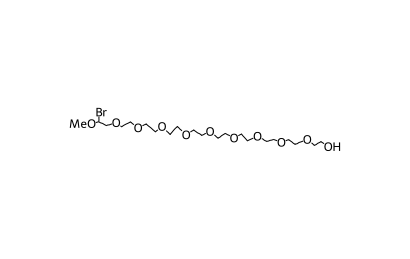 COC(Br)COCCOCCOCCOCCOCCOCCOCCOCCOCCO